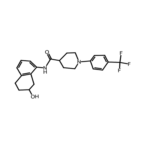 O=C(Nc1cccc2c1CC(O)CC2)C1CCN(c2ccc(C(F)(F)F)cc2)CC1